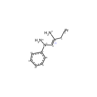 CC(C)C/C(N)=C/N(N)c1ccccc1